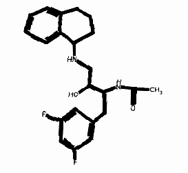 CC(=O)NC(Cc1cc(F)cc(F)c1)C(O)CNC1CCCc2ccccc21